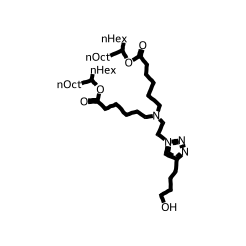 CCCCCCCCC(CCCCCC)OC(=O)CCCCCN(CCCCCC(=O)OC(CCCCCC)CCCCCCCC)CCn1cc(CCCCO)nn1